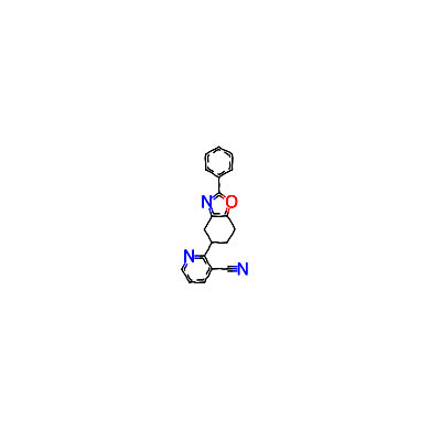 N#Cc1cccnc1C1CCc2oc(-c3ccccc3)nc2C1